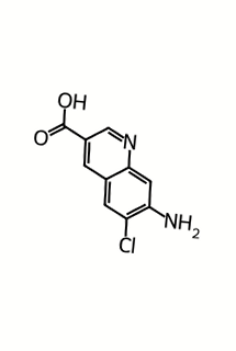 Nc1cc2ncc(C(=O)O)cc2cc1Cl